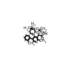 Cc1ccccc1-c1cnc(C)c([C@H](OC(C)(C)C)C(=O)O)c1N1CCC(C)(C)CC1